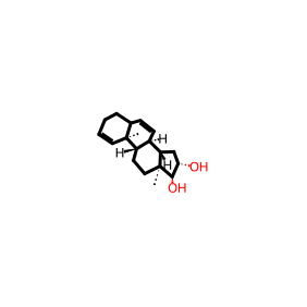 C[C@]12CC[C@H]3[C@@H](C=CC4CCC=C[C@@]43C)[C@@H]1C[C@H](O)[C@@H]2O